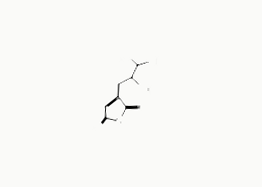 CC(C)C(O)CC1=CC(=O)NC1=O